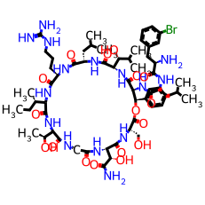 CC[C@H](C)C1NC(=O)[C@@H](CCCNC(=N)N)NC(=O)[C@H](CC(C)C)NC(=O)[C@H]([C@H](O)C(C)C)NC(=O)[C@@H](NC(=O)[C@H](CC(C)C)NC(=O)[C@H](N)Cc2cccc(Br)c2)[C@@H](c2ccccc2)OC(=O)[C@H](CO)NC(=O)[C@H]([C@H](O)C(N)=O)NC(=O)CNC(=O)C([C@H](C)O)NC1=O